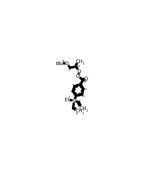 C=C[Si](C=C)(CC)c1ccc(C(=O)OO[C](C)COC(C)(C)C)cc1